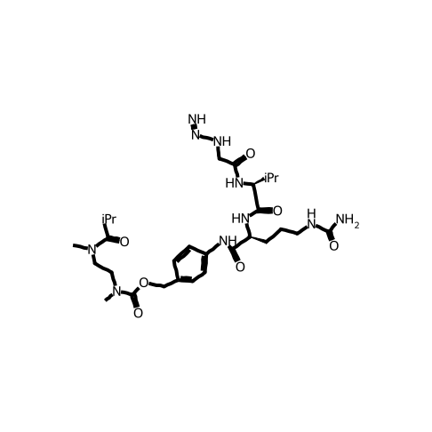 CC(C)C(=O)N(C)CCN(C)C(=O)OCc1ccc(NC(=O)[C@H](CCCNC(N)=O)NC(=O)[C@@H](NC(=O)CNN=N)C(C)C)cc1